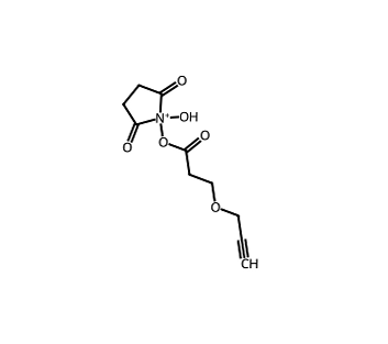 C#CCOCCC(=O)O[N+]1(O)C(=O)CCC1=O